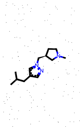 CC(C)Cc1cnn(C[C@H]2CCN(C)C2)c1